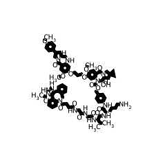 COc1ccc(C2=CN3C(=O)c4cc(OC)c(OCCCOc5cc6c(cc5OC)C(=O)N5CC7(CC7)C[C@H]5C(O)N6C(=O)OCc5ccc(NC(=O)[C@H](CCCCN)NC(=O)[C@@H](NC(=O)CNC(=O)CNC(=O)CCC(=O)N6Cc7ccccc7C7=C(c8ccccc86)N(C(C)C)NN7)C(C)C)cc5)cc4NC[C@@H]3C2)cc1